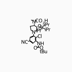 CC(C)[Si](O[C@@H]1CN(c2cc(C#N)cc(NC(=O)OC(C)(C)C)c2Cl)CC[C@H]1N(C)C(=O)O)(C(C)C)C(C)C